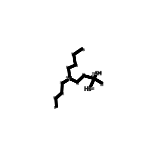 CCCCN(CCCC)CCC(C)(S)S